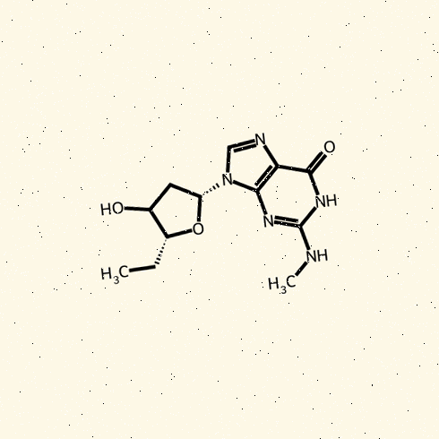 CC[C@H]1O[C@@H](n2cnc3c(=O)[nH]c(NC)nc32)CC1O